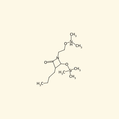 CCCCC1C(=O)N(CCO[SiH](C)C)C1O[Si](C)(C)C